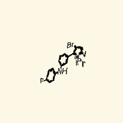 CC(C)n1ncc(Br)c1-c1cccc(Nc2ccc(F)cc2)c1